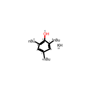 CCCCc1cc(CCCC)c(O)c(CCCC)c1.[KH]